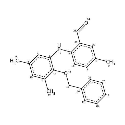 Cc1ccc(Pc2cc(C)cc(C)c2OCc2ccccc2)c(C=O)c1